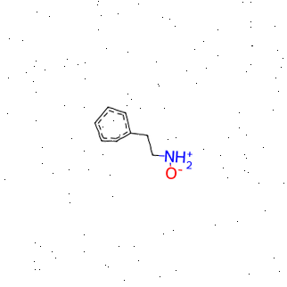 [O-][NH2+]CCc1ccccc1